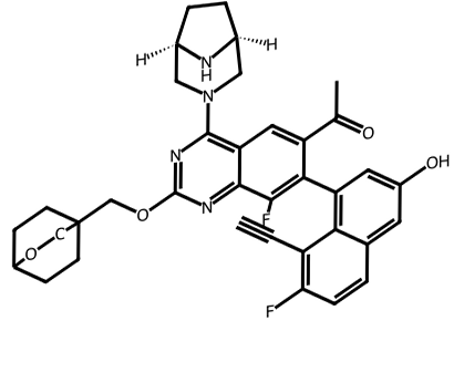 C#Cc1c(F)ccc2cc(O)cc(-c3c(C(C)=O)cc4c(N5C[C@H]6CC[C@@H](C5)N6)nc(OCC56CCC(CC5)OC6)nc4c3F)c12